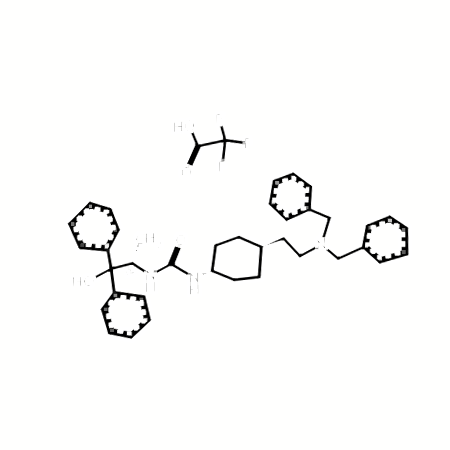 C[C@H](NC(=O)N[C@H]1CC[C@H](CCN(Cc2ccccc2)Cc2ccccc2)CC1)C(O)(c1ccccc1)c1ccccc1.O=C(O)C(F)(F)F